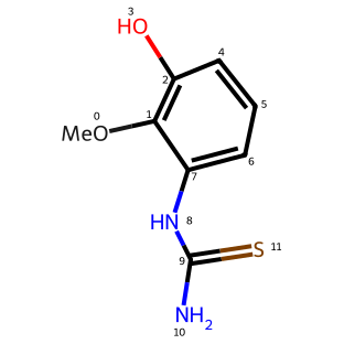 COc1c(O)cccc1NC(N)=S